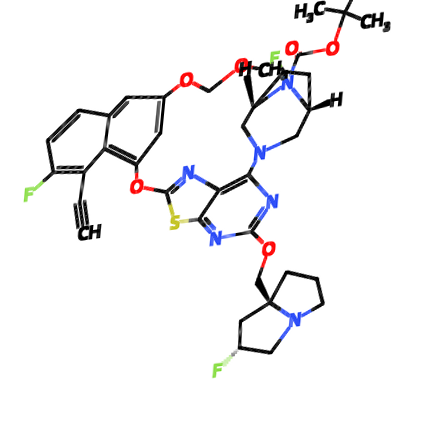 C#Cc1c(F)ccc2cc(OCOC)cc(Oc3nc4c(N5C[C@H]6CC(F)[C@@H](C5)N6C(=O)OC(C)(C)C)nc(OC[C@@]56CCCN5C[C@H](F)C6)nc4s3)c12